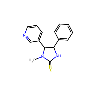 CN1C(=S)NC(c2ccccc2)C1c1cccnc1